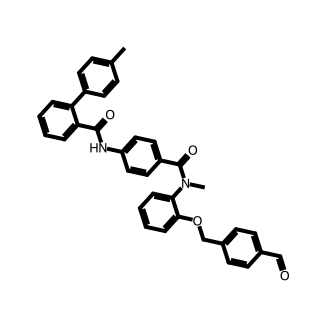 Cc1ccc(-c2ccccc2C(=O)Nc2ccc(C(=O)N(C)c3ccccc3OCc3ccc(C=O)cc3)cc2)cc1